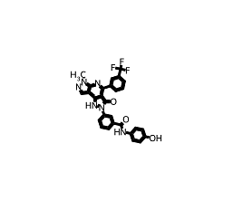 Cn1ncc2c3[nH]n(-c4cccc(C(=O)Nc5ccc(O)cc5)c4)c(=O)c3c(-c3cccc(C(F)(F)F)c3)nc21